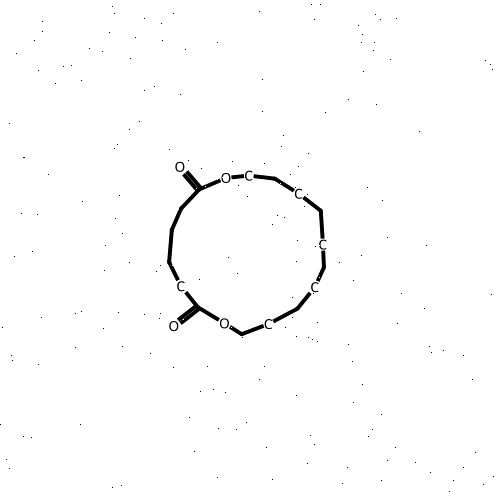 O=C1CCCCC(=O)OCCCCCCCCCCO1